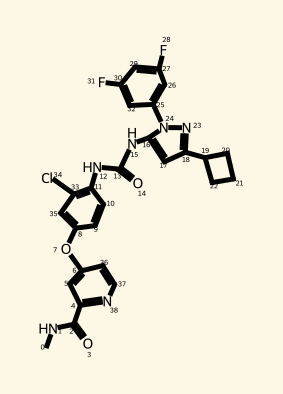 CNC(=O)c1cc(Oc2ccc(NC(=O)Nc3cc(C4CCC4)nn3-c3cc(F)cc(F)c3)c(Cl)c2)ccn1